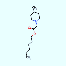 CCCCCCOC(=O)CN1CCC(C)CC1